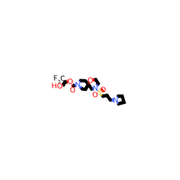 O=C(O[C@H](CO)C(F)(F)F)N1CCC2(CC1)CN(S(=O)(=O)CCCN1CCCC1)CCO2